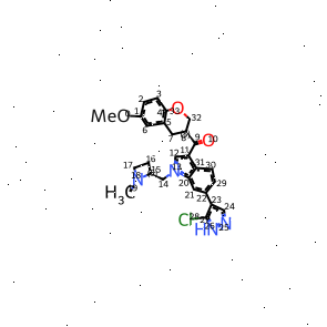 COc1ccc2c(c1)C[C@H](C(=O)c1cn(C[C@@H]3CCN3C)c3cc(-c4cn[nH]c4Cl)ccc13)CO2